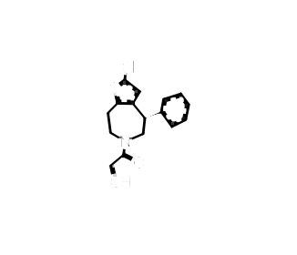 C=CC(=O)N1CCc2sc(Cl)cc2[C@@H](c2ccccc2)C1